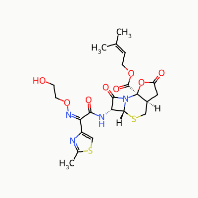 CC(C)=CCOC(=O)[C@]12OC(=O)C[C@H]1CS[C@@H]1[C@H](NC(=O)/C(=N\OCCO)c3csc(C)n3)C(=O)N12